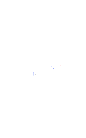 NCCNCCNOO